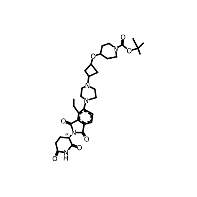 CCc1c(N2CCN(C3CC(OC4CCN(C(=O)OC(C)(C)C)CC4)C3)CC2)ccc2c1C(=O)N([C@@H]1CCC(=O)NC1=O)C2=O